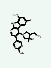 CNc1cc(F)cc2c1[nH]c1ncc(-c3cnc(OC)nc3)c(N3CC(CN)C(F)(F)C3)c12